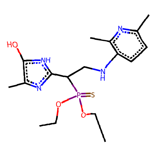 CCOP(=S)(OCC)C(CNc1ccc(C)nc1C)c1nc(C)c(O)[nH]1